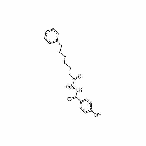 O=C(CCCCCCc1ccccc1)NNC(=O)c1ccc(O)cc1